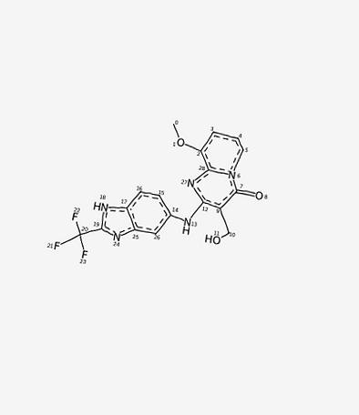 COc1cccn2c(=O)c(CO)c(Nc3ccc4[nH]c(C(F)(F)F)nc4c3)nc12